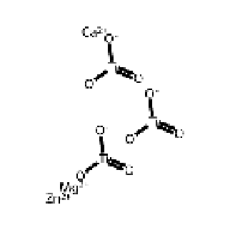 [Ca+2].[Mg+2].[O]=[Ti]([O-])[O-].[O]=[Ti]([O-])[O-].[O]=[Ti]([O-])[O-].[Zn+2]